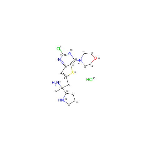 CC(N)(Cc1cc2nc(Cl)nc(N3CCOCC3)c2s1)C1CCCN1.Cl